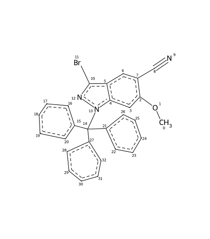 COc1cc2c(cc1C#N)c(Br)nn2C(c1ccccc1)(c1ccccc1)c1ccccc1